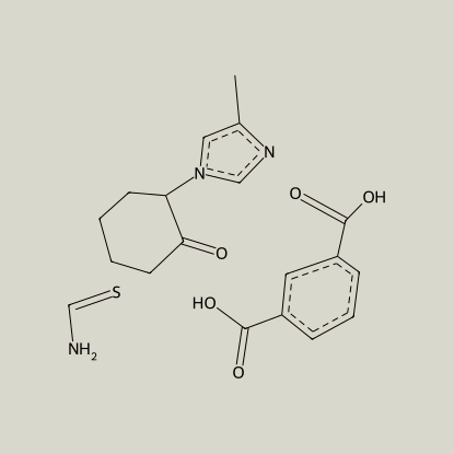 Cc1cn(C2CCCCC2=O)cn1.NC=S.O=C(O)c1cccc(C(=O)O)c1